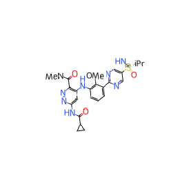 CNC(=O)c1nnc(NC(=O)C2CC2)cc1Nc1cccc(-c2ncc([S@@](=N)(=O)C(C)C)cn2)c1OC